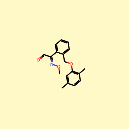 CO/N=C(/C=O)c1ccccc1COc1cc(C)ccc1C